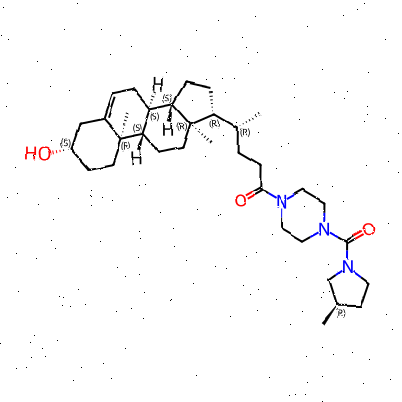 C[C@@H]1CCN(C(=O)N2CCN(C(=O)CC[C@@H](C)[C@H]3CC[C@H]4[C@@H]5CC=C6C[C@@H](O)CC[C@]6(C)[C@H]5CC[C@]34C)CC2)C1